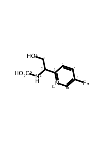 O=C(O)NC(CO)c1ccc(F)cn1